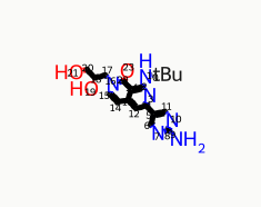 CC(C)(C)Nc1nc(-c2cnc(N)nc2)cc2ccn(C[C@H](O)CO)c(=O)c12